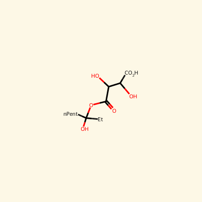 CCCCCC(O)(CC)OC(=O)C(O)C(O)C(=O)O